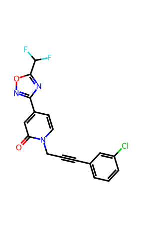 O=c1cc(-c2noc(C(F)F)n2)ccn1CC#Cc1cccc(Cl)c1